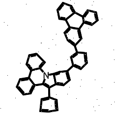 c1ccc(-c2c3ccc(-c4cccc(-c5ccc6c7ccccc7c7ccccc7c6c5)c4)cc3n3c4ccccc4c4ccccc4c23)cc1